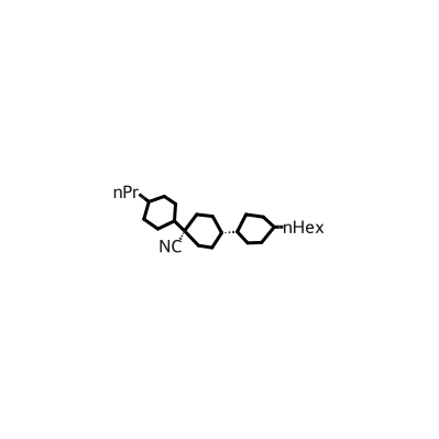 CCCCCCC1CCC([C@H]2CC[C@](C#N)(C3CCC(CCC)CC3)CC2)CC1